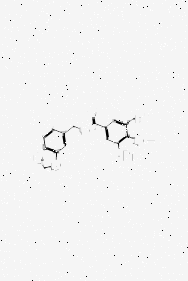 CC(C)c1cc(C(=O)OCc2ccc3c(c2)OCO3)cc(C(C)C)c1O